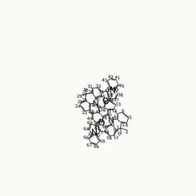 CC1(C)c2ccccc2N(c2c3ccc(C#N)cc3c(N3c4ccccc4C(C)(C)c4ccc5c(oc6ccc7ccccc7c65)c43)c3ccc(C#N)cc23)c2c1ccc1c2oc2ccc3ccccc3c21